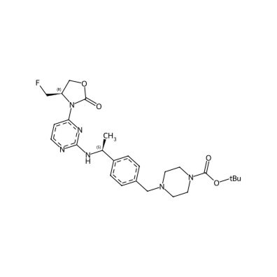 C[C@H](Nc1nccc(N2C(=O)OC[C@@H]2CF)n1)c1ccc(CN2CCN(C(=O)OC(C)(C)C)CC2)cc1